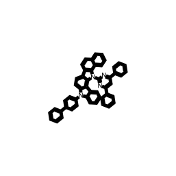 c1ccc(-c2ccc(-n3c4ccccc4c4c3ccc3c5ccc6ccccc6c5n(-c5nc(-c6ccccc6)cc(-c6ccccc6)n5)c34)cc2)cc1